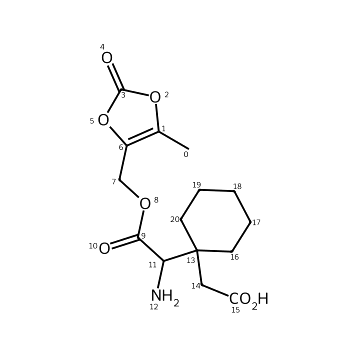 Cc1oc(=O)oc1COC(=O)C(N)C1(CC(=O)O)CCCCC1